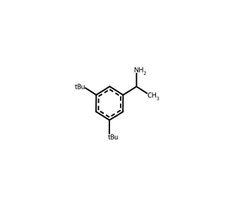 CC(N)c1cc(C(C)(C)C)cc(C(C)(C)C)c1